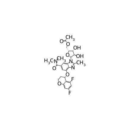 CC(=O)OC[C@H]1OC(n2c(C)nc3c(OC4CCOc5cc(F)cc(F)c54)cc(C(=O)N(C)C)cc32)[C@H](O)[C@H]1O